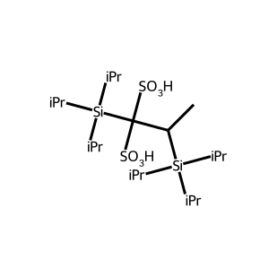 CC(C)[Si](C(C)C)(C(C)C)C(C)C([Si](C(C)C)(C(C)C)C(C)C)(S(=O)(=O)O)S(=O)(=O)O